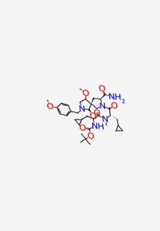 COc1ccc(CN2CC(OC)[C@@]3(C[C@@H](C(N)=O)N(C(=O)[C@H](CC4CC4)N(C)C(=O)[C@H](CC4CC4)NC(=O)OC(C)(C)C)C3)C2=O)cc1